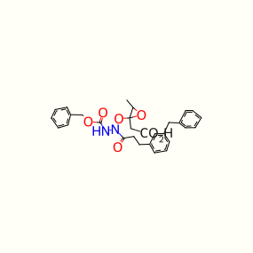 CC1OC1(CC(=O)O)ON(NC(=O)OCc1ccccc1)C(=O)CCc1cccc(Cc2ccccc2)c1